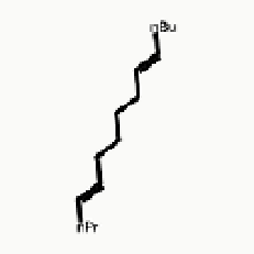 CCC/C=C/CCCC/C=C/CCCC